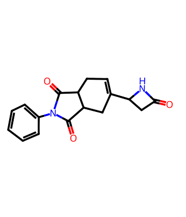 O=C1CC(C2=CCC3C(=O)N(c4ccccc4)C(=O)C3C2)N1